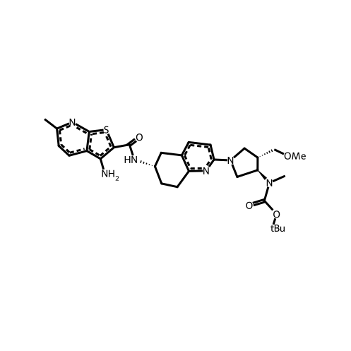 COC[C@H]1CN(c2ccc3c(n2)CC[C@H](NC(=O)c2sc4nc(C)ccc4c2N)C3)C[C@@H]1N(C)C(=O)OC(C)(C)C